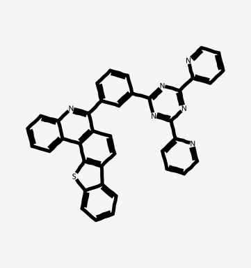 c1ccc(-c2nc(-c3cccc(-c4nc5ccccc5c5c4ccc4c6ccccc6sc45)c3)nc(-c3ccccn3)n2)nc1